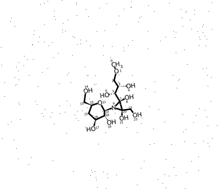 COC[C@H](O)[C@@H](O)[C@@]1(O)N([C@@H]2O[C@H](CO)C[C@H](O)[C@H]2O)[C@@]1(O)CO